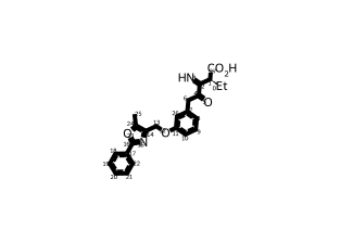 CC[C@H](C(=N)C(=O)Cc1cccc(OCc2nc(-c3ccccc3)oc2C)c1)C(=O)O